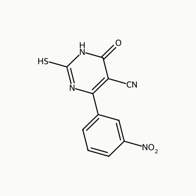 N#Cc1c(-c2cccc([N+](=O)[O-])c2)nc(S)[nH]c1=O